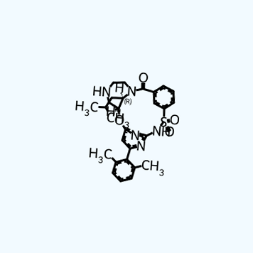 Cc1cccc(C)c1-c1cc2nc(n1)NS(=O)(=O)c1cccc(c1)C(=O)N1CCNC[C@@H](O2)[C@H]1CC(C)C